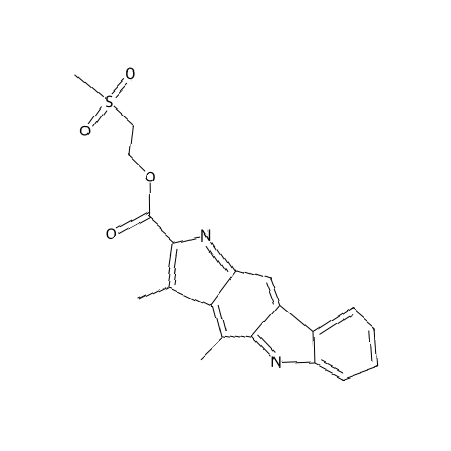 CC1=C(C(=O)OCCS(C)(=O)=O)N=c2cc3c(c(C)c21)=Nc1ccccc1-3